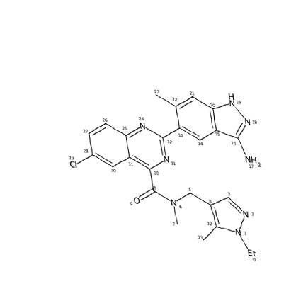 CCn1ncc(CN(C)C(=O)c2nc(-c3cc4c(N)n[nH]c4cc3C)nc3ccc(Cl)cc23)c1C